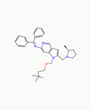 C[C@H]1CCCN1Cc1cc2cnc(N=C(c3ccccc3)c3ccccc3)cc2n1COCC[Si](C)(C)C